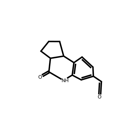 O=Cc1ccc2c(c1)NC(=O)C1CCCC21